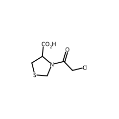 O=C(O)C1CSCN1C(=O)CCl